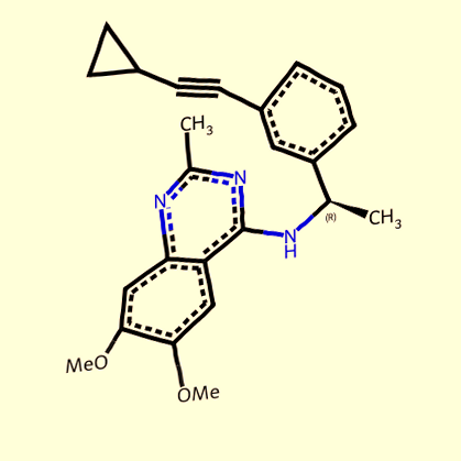 COc1cc2nc(C)nc(N[C@H](C)c3cccc(C#CC4CC4)c3)c2cc1OC